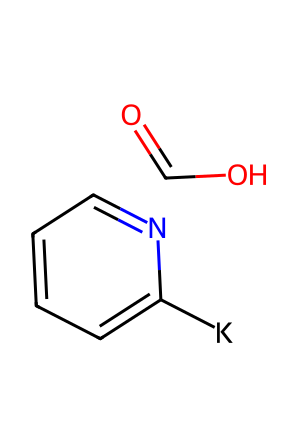 O=CO.[K][c]1ccccn1